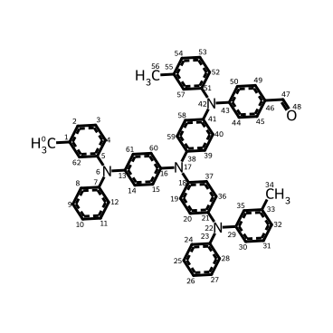 Cc1cccc(N(c2ccccc2)c2ccc(N(c3ccc(N(c4ccccc4)c4cccc(C)c4)cc3)c3ccc(N(c4ccc(C=O)cc4)c4cccc(C)c4)cc3)cc2)c1